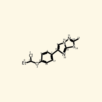 CCC(Cl)Oc1ccc(-c2cn3nc(C)sc3n2)cc1